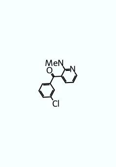 CNc1ncccc1C(=O)c1cccc(Cl)c1